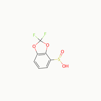 O=S(O)c1cccc2c1OC(F)(F)O2